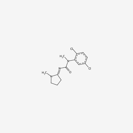 CN1CCCC1=NC(=O)N(C)c1cc(Cl)ccc1Cl